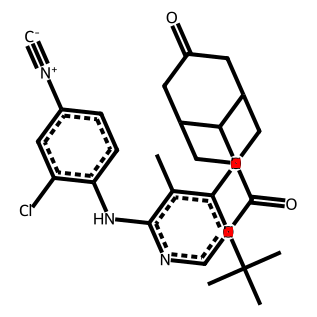 [C-]#[N+]c1ccc(Nc2ncnc(OC3C4CC(=O)CC3CN(C(=O)OC(C)(C)C)C4)c2C)c(Cl)c1